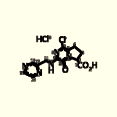 Cl.O=C(O)C1CCc2c(Cl)nc(NCc3cnccn3)c(=O)n21